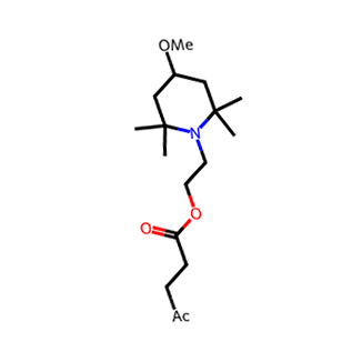 COC1CC(C)(C)N(CCOC(=O)CCC(C)=O)C(C)(C)C1